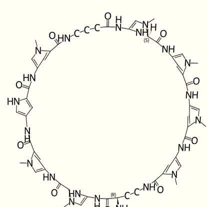 CN1C=C2NC(=O)[C@H](N)CCNC(=O)c3cc(cn3C)NC(=O)c3cc(cn3C)NC(=O)c3cc(cn3C)NC(=O)[C@H]3NC(=CN3C)NC(=O)CCCNC(=O)c3cc(cn3C)NC(=O)c3cc(c[nH]3)NC(=O)c3cc(cn3C)NC(=O)C1N2